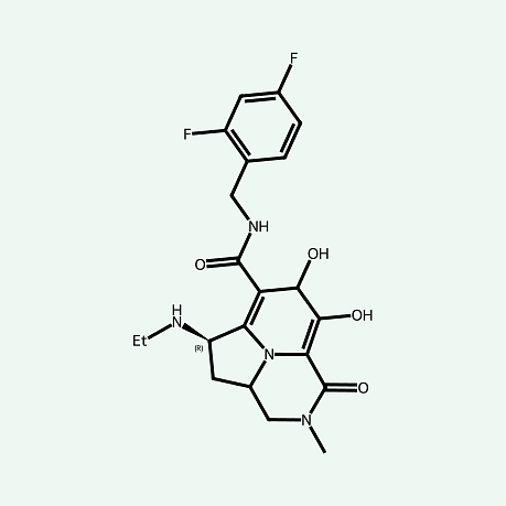 CCN[C@@H]1CC2CN(C)C(=O)C3=C(O)C(O)C(C(=O)NCc4ccc(F)cc4F)=C1N32